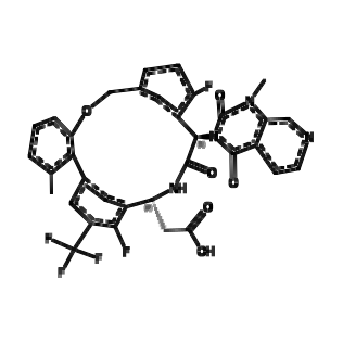 Cc1cccc2c1-c1cc(c(F)c(C(F)(F)F)c1)[C@@H](CC(=O)O)NC(=O)[C@H](n1c(=O)c3ccncc3n(C)c1=O)c1cc(ccc1F)CO2